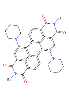 CCN1C(=O)c2ccc3c4c(N5CCCCC5)cc5c6c(ccc(c7c(N8CCCCC8)cc(c2c37)C1=O)c64)C(=O)N(CC)C5=O